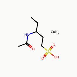 CCC(CCS(=O)(=O)O)NC(C)=O.[CaH2]